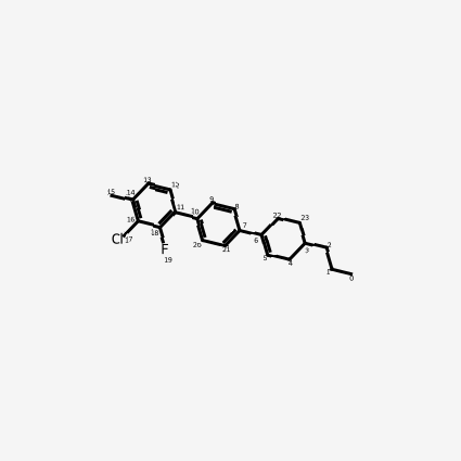 CCCC1CC=C(c2ccc(-c3ccc(C)c(Cl)c3F)cc2)CC1